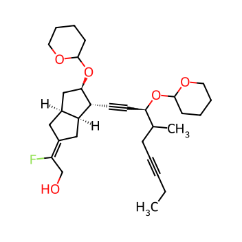 CCC#CCC(C)[C@@H](C#C[C@@H]1[C@H]2C/C(=C(/F)CO)C[C@H]2C[C@H]1OC1CCCCO1)OC1CCCCO1